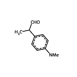 CNc1ccc(C(C)C=O)cc1